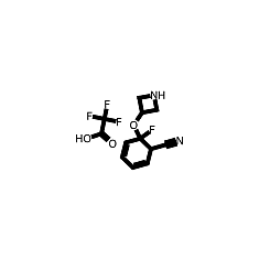 N#CC1C=CC=CC1(F)OC1CNC1.O=C(O)C(F)(F)F